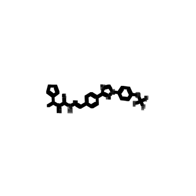 CC(NC(=S)N/N=C/c1ccc(-c2ncn(-c3ccc(OC(F)(F)F)cc3)n2)cc1)C1=CCC=C1